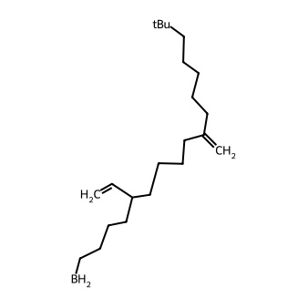 BCCCCC(C=C)CCCCC(=C)CCCCCC(C)(C)C